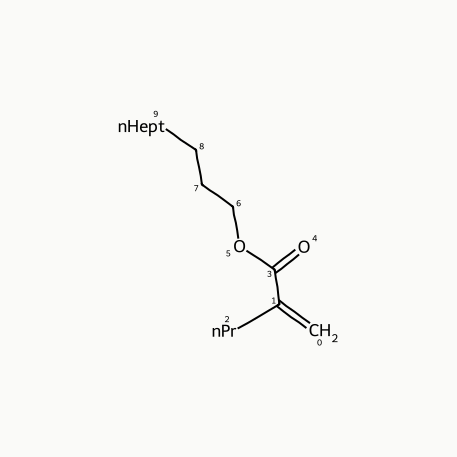 C=C(CCC)C(=O)OCCCCCCCCCC